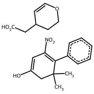 CC1(C)CC(O)=CC([N+](=O)[O-])=C1c1ccccc1.O=C(O)CC1C=COCC1